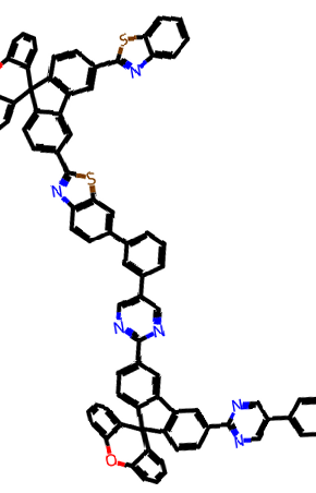 c1ccc(-c2cnc(-c3ccc4c(c3)-c3cc(-c5ncc(-c6cccc(-c7ccc8nc(-c9ccc%10c(c9)-c9cc(-c%11nc%12ccccc%12s%11)ccc9C%109c%10ccccc%10Oc%10ccccc%109)sc8c7)c6)cn5)ccc3C43c4ccccc4Oc4ccccc43)nc2)cc1